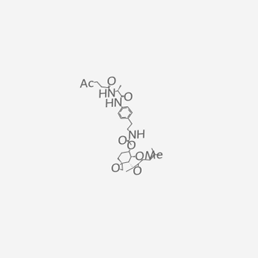 CO[C@H]1[C@H](C2(C)O[C@@H]2CC=C(C)C)[C@]2(CC[C@H]1OC(=O)NCCc1ccc(NC(=O)[C@H](C)NC(=O)CCC(C)=O)cc1)CO2